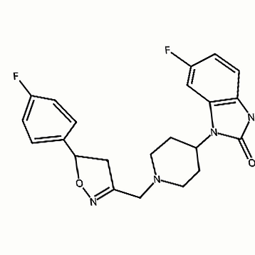 O=c1[nH]c2ccc(F)cc2n1C1CCN(CC2=NOC(c3ccc(F)cc3)C2)CC1